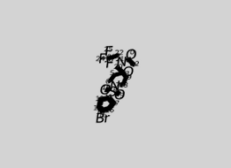 O=C1COC2(CCN(S(=O)(=O)c3ccc(Br)cc3)CC2)CN1CC(F)(F)F